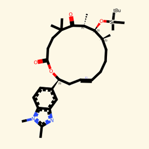 Cc1nc2cc([C@@H]3C/C=C/CCC[C@H](C)[C@H](O[Si](C)(C)C(C)(C)C)[C@@H](C)C(=O)C(C)(C)CCC(=O)O3)ccc2n1C